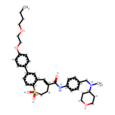 CCCCOCCOc1ccc(-c2ccc3c(c2)C=C(C(=O)Nc2ccc(CN(C)C4CCOCC4)cc2)CCS3(=O)=O)cc1